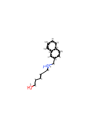 OCCCCCNCc1[c]cc2ccccc2c1